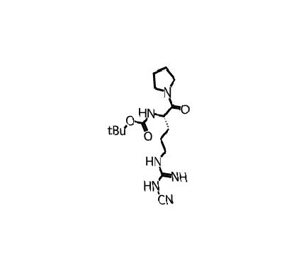 CC(C)(C)OC(=O)N[C@@H](CCCNC(=N)NC#N)C(=O)N1CCCC1